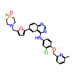 Cc1cccc(COc2ccc(Nc3ncnc4ccc(-c5ccc(CN6CCP(C)(=O)CC6)o5)cc34)cc2Cl)n1